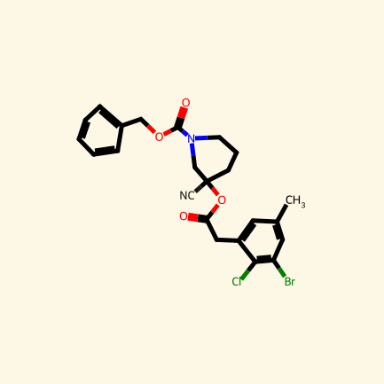 Cc1cc(Br)c(Cl)c(CC(=O)OC2(C#N)CCCN(C(=O)OCc3ccccc3)C2)c1